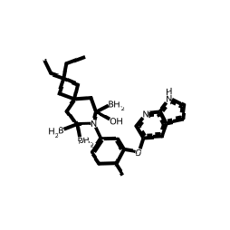 BC1(B)CC2(CC(CC)(CC)C2)CC(B)(O)N1C1=CCC(C)C(Oc2cnc3[nH]ccc3c2)=C1